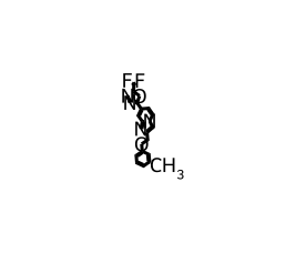 Cc1cccc(OCc2cn3ccc(-c4nnc(C(F)F)o4)cc3n2)c1